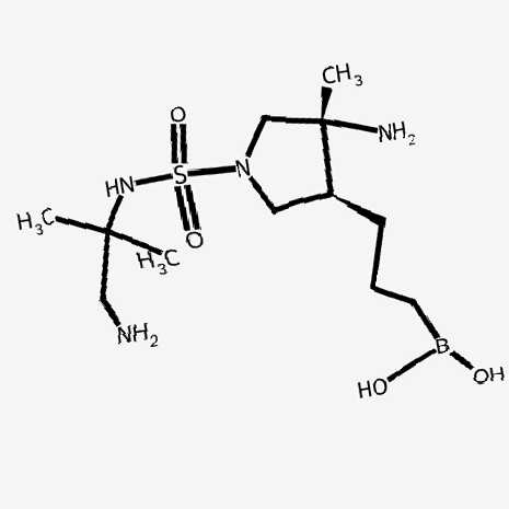 CC(C)(CN)NS(=O)(=O)N1C[C@H](CCCB(O)O)[C@@](C)(N)C1